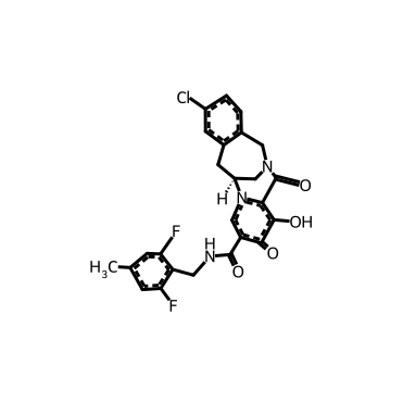 Cc1cc(F)c(CNC(=O)c2cn3c(c(O)c2=O)C(=O)N2Cc4ccc(Cl)cc4C[C@H]3C2)c(F)c1